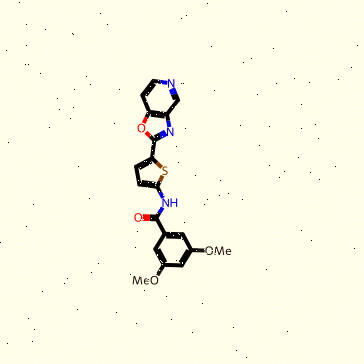 COc1cc(OC)cc(C(=O)Nc2ccc(-c3nc4cnccc4o3)s2)c1